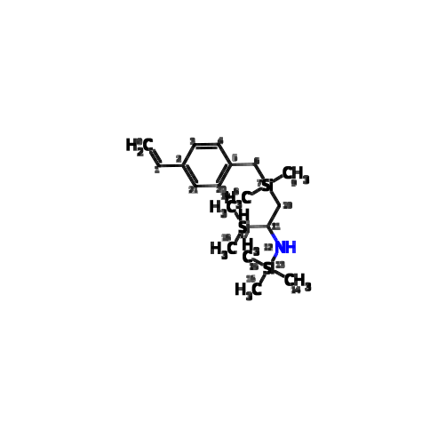 C=Cc1ccc(C[Si](C)(C)CC(N[Si](C)(C)C)[SiH](C)C)cc1